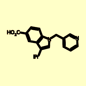 CC(C)c1cn(Cc2cccnc2)c2ccc(C(=O)O)cc12